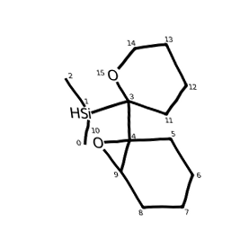 C[SiH](C)C1(C23CCCCC2O3)CCCCO1